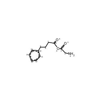 NCC(=O)OC(=O)CCCc1ccccc1